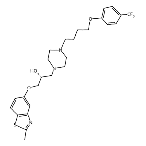 Cc1nc2cc(OC[C@H](O)CN3CCN(CCCCOc4ccc(C(F)(F)F)cc4)CC3)ccc2s1